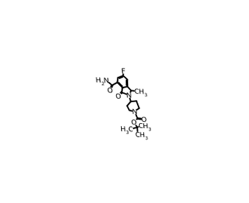 CC1c2cc(F)cc(C(N)=O)c2C(=O)N1C1CCN(C(=O)OC(C)(C)C)CC1